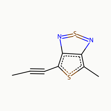 CC#Cc1sc(C)c2c1N=S=N2